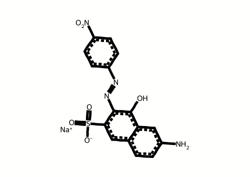 Nc1ccc2cc(S(=O)(=O)[O-])c(N=Nc3ccc([N+](=O)[O-])cc3)c(O)c2c1.[Na+]